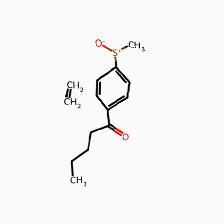 C=C.CCCCC(=O)c1ccc([S+](C)[O-])cc1